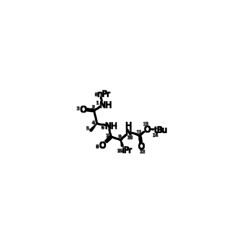 CCCNC(=O)[C@H](C)NC(=O)[C@@H](NC(=O)OC(C)(C)C)C(C)C